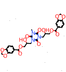 Cn1c(=O)n(CC(O)COC(=O)c2ccc3c(c2)OCO3)c(=O)n(CC(O)COC(=O)c2ccc3c(c2)OCO3)c1=O